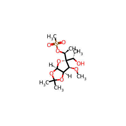 CO[C@H]1[C@H]2OC(C)(C)O[C@H]2O[C@@]1([C@H](C)O)[C@H](C)OS(C)(=O)=O